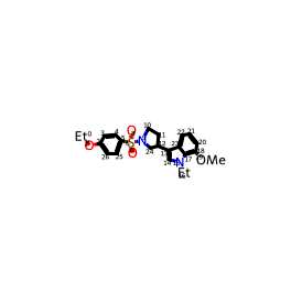 CCOc1ccc(S(=O)(=O)N2CCC(c3cn(CC)c4c(OC)cccc34)C2)cc1